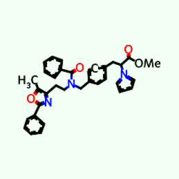 COC(=O)C(Cc1ccc(CN(CCc2nc(-c3ccccc3)oc2C)C(=O)c2ccccc2)cc1)n1cccc1